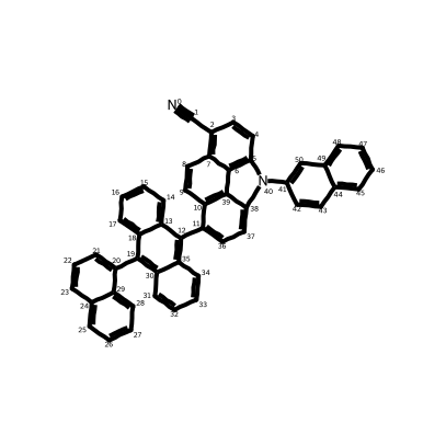 N#Cc1ccc2c3c1ccc1c(-c4c5ccccc5c(-c5cccc6ccccc56)c5ccccc45)ccc(c13)n2-c1ccc2ccccc2c1